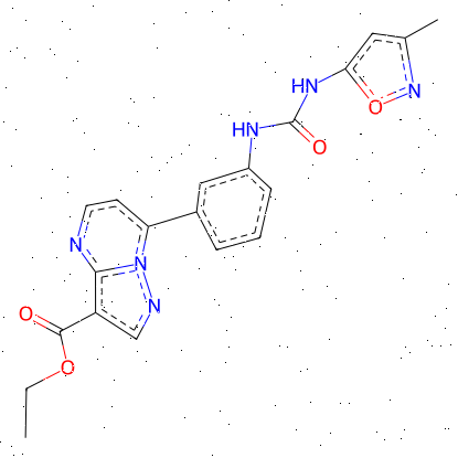 CCOC(=O)c1cnn2c(-c3cccc(NC(=O)Nc4cc(C)no4)c3)ccnc12